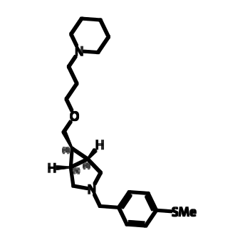 CSc1ccc(CN2C[C@@H]3[C@@H](COCCCN4CCCCC4)[C@@H]3C2)cc1